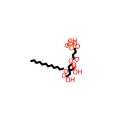 CCCCCCCCCCCCOC(CC(=O)O)(CC(=O)OC(=O)CCC(=O)OS(=O)(=O)O)C(=O)O